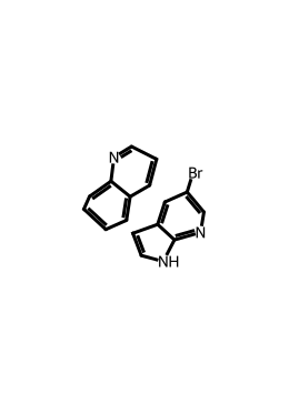 Brc1cnc2[nH]ccc2c1.c1ccc2ncccc2c1